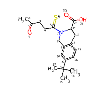 CC(=O)CCC(=S)N1Cc2cc(C(C)(C)C)ccc2CC1C(=O)O